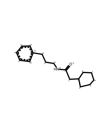 O=C(CC1CCCCC1)NCCCc1ccccc1